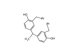 CC(C)Cc1cc(C(C)c2ccc(O)c(CC(C)C)c2)ccc1O